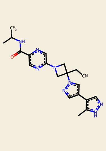 Cc1[nH]ncc1-c1cnn(C2(CC#N)CN(c3cnc(C(=O)NC(C)C(F)(F)F)cn3)C2)c1